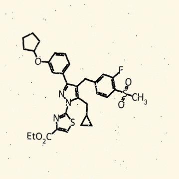 CCOC(=O)c1csc(-n2nc(-c3cccc(OC4CCCC4)c3)c(Cc3ccc(S(C)(=O)=O)c(F)c3)c2CC2CC2)n1